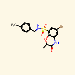 CC1Oc2c(cc(Br)cc2S(=O)(=O)NCc2ccc(C(F)(F)F)cc2)NC1=O